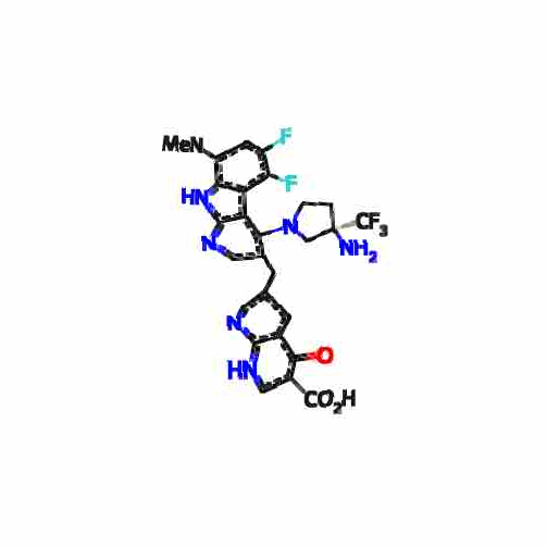 CNc1cc(F)c(F)c2c1[nH]c1ncc(Cc3cnc4[nH]cc(C(=O)O)c(=O)c4c3)c(N3CC[C@](N)(C(F)(F)F)C3)c12